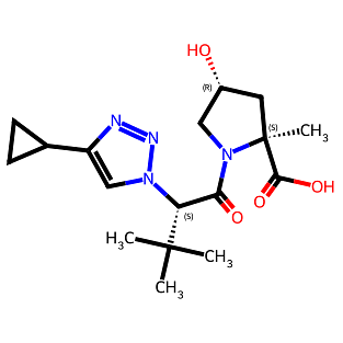 CC(C)(C)[C@@H](C(=O)N1C[C@H](O)C[C@@]1(C)C(=O)O)n1cc(C2CC2)nn1